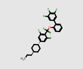 CCC[C@H]1CC[C@H](c2cc(F)c(C(F)(F)Oc3ccccc3-c3cc(F)c(F)c(F)c3)c(F)c2)CC1